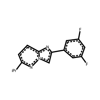 CC(C)c1ccc2nc(-c3cc(F)cc(F)c3)cn2n1